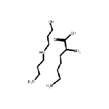 NCCCCC(N)C(=O)O.NCCCNCCCO